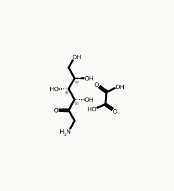 NCC(=O)[C@@H](O)[C@H](O)[C@H](O)CO.O=C(O)C(=O)O